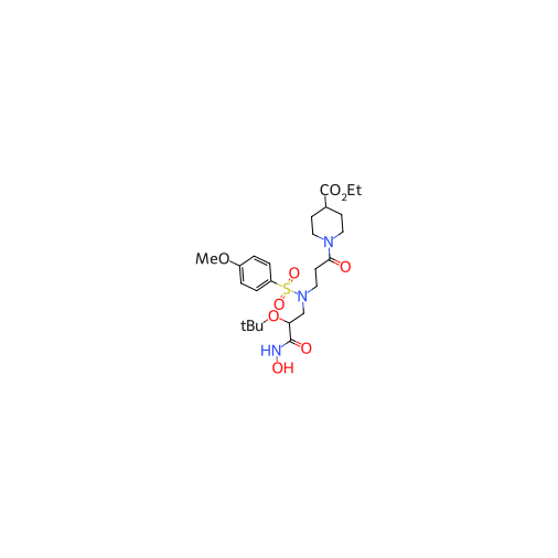 CCOC(=O)C1CCN(C(=O)CCN(CC(OC(C)(C)C)C(=O)NO)S(=O)(=O)c2ccc(OC)cc2)CC1